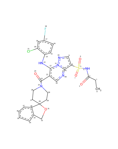 CCC(=O)NS(=O)(=O)c1cnn2c(Nc3ccc(F)cc3Cl)c(C(=O)N3CCC4(CC3)OCc3ccccc34)cnc12